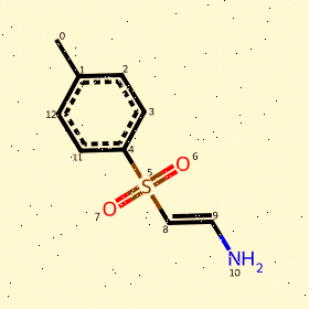 Cc1ccc(S(=O)(=O)/C=C/N)cc1